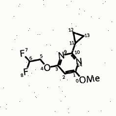 COc1cc(OCC(F)F)nc(C2CC2)n1